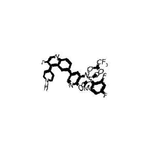 COc1ncc(-c2ccc3ncc(F)c(C4=CCNCC4)c3c2)cc1N(OC(=O)C(F)(F)F)S(=O)(=O)c1ccc(F)cc1F